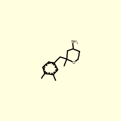 Cc1ccc(CC2(C)CC(N)CCO2)cc1C